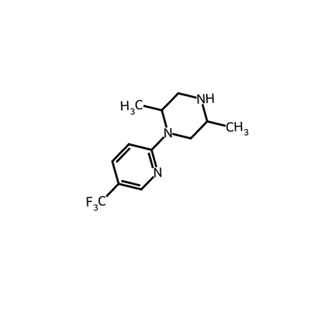 CC1CN(c2ccc(C(F)(F)F)cn2)C(C)CN1